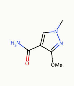 COc1nn(C)cc1C(N)=O